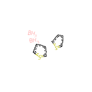 B.B.c1ccsc1.c1ccsc1